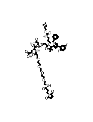 CC(C)(C)[C@H](c1cc(-c2cc(F)ccc2F)cn1Cc1ccccc1)N(CCCNC(=O)OCC[Si](C)(C)C)C(=O)CSC[C@H](NC(=O)[C@H](CCC(=O)O)NC(=O)CCOCCOCCOCCOCCNC(=O)CCN1C(=O)C=CC1=O)C(=O)O